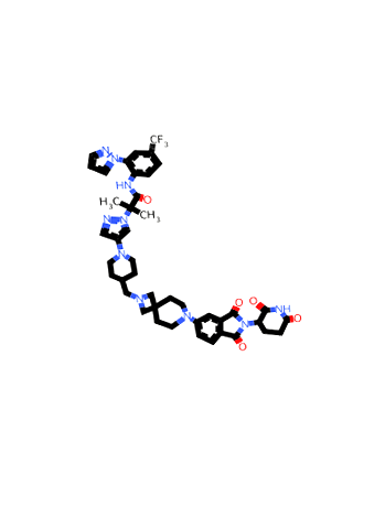 CC(C)(C(=O)Nc1ccc(C(F)(F)F)cc1-n1cccn1)n1cc(N2CCC(CN3CC4(CCN(c5ccc6c(c5)C(=O)N(C5CCC(=O)NC5=O)C6=O)CC4)C3)CC2)cn1